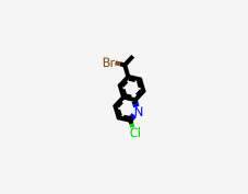 CC(Br)c1ccc2nc(Cl)ccc2c1